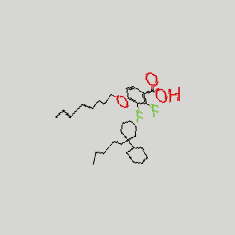 CCCCCC1(C2CCCCC2)CCCCC1.CCCCCCCCOc1ccc(C(=O)O)c(F)c1F